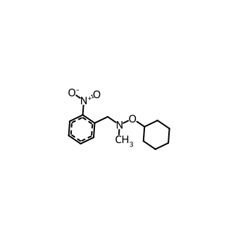 CN(Cc1ccccc1[N+](=O)[O-])OC1CCCCC1